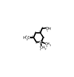 CC1CC(CO)C[Si](C)(C)C1